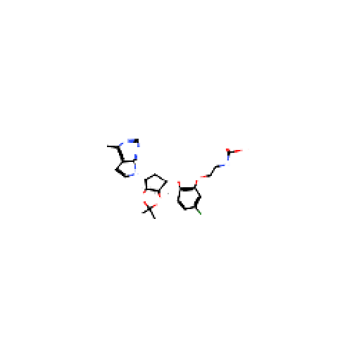 Cc1ncnc2c1ccn2[C@@H]1C[C@H](Oc2ccc(Cl)cc2OCCNC(=O)O)[C@H]2OC(C)(C)O[C@H]21